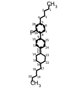 CCCCCc1ccc(-c2ccc(C3CCC(CCCCC)CC3)cc2)c(F)c1